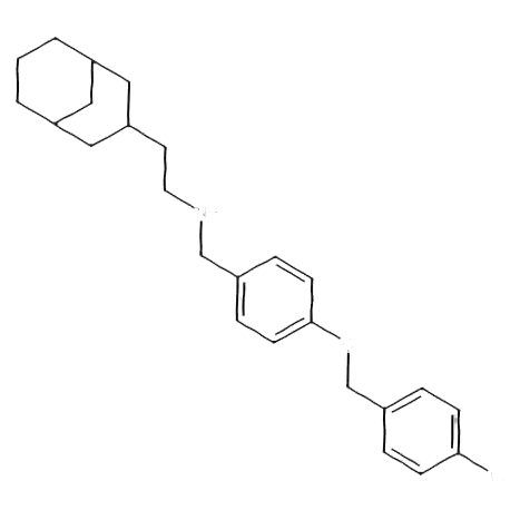 Clc1ccc(COc2ccc(CNCCC3CC4CCCC(C4)C3)cc2)cc1